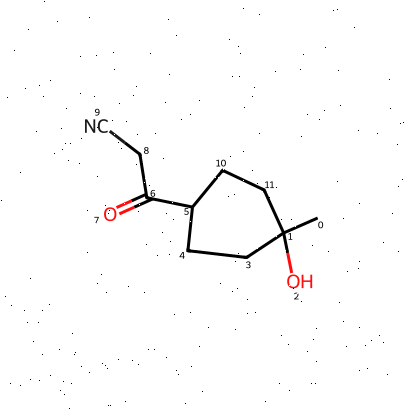 CC1(O)CCC(C(=O)CC#N)CC1